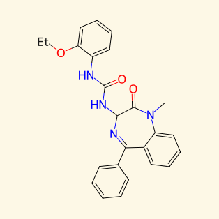 CCOc1ccccc1NC(=O)NC1N=C(c2ccccc2)c2ccccc2N(C)C1=O